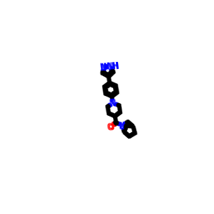 O=C(C1CCN(c2ccc(-c3cn[nH]c3)cc2)CC1)N1CC2CCC1C2